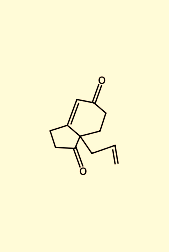 C=CCC12CCC(=O)C=C1CCC2=O